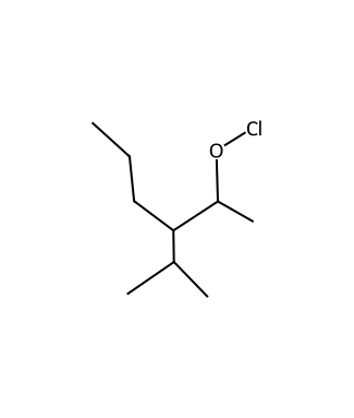 CCCC(C(C)C)C(C)OCl